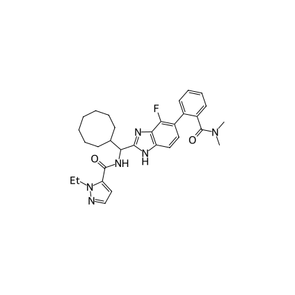 CCn1nccc1C(=O)NC(c1nc2c(F)c(-c3ccccc3C(=O)N(C)C)ccc2[nH]1)C1CCCCCCC1